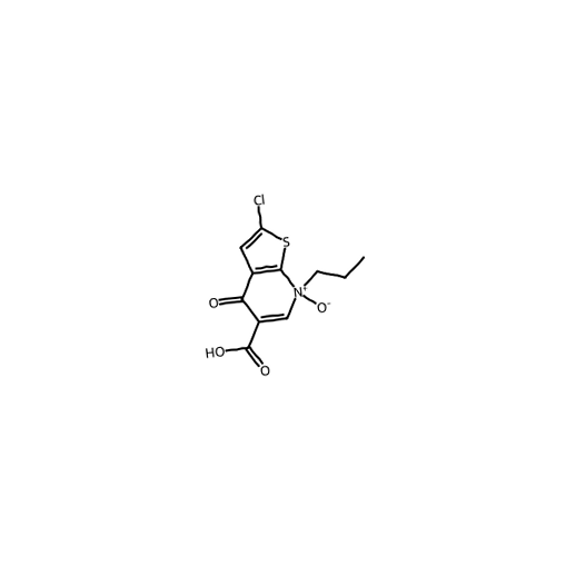 CCC[N+]1([O-])C=C(C(=O)O)C(=O)c2cc(Cl)sc21